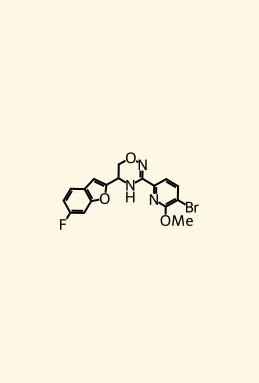 COc1nc(C2=NOCC(c3cc4ccc(F)cc4o3)N2)ccc1Br